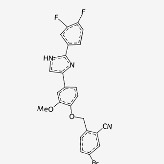 COc1cc(-c2c[nH]c(-c3ccc(F)c(F)c3)n2)ccc1OCc1ccc(Br)cc1C#N